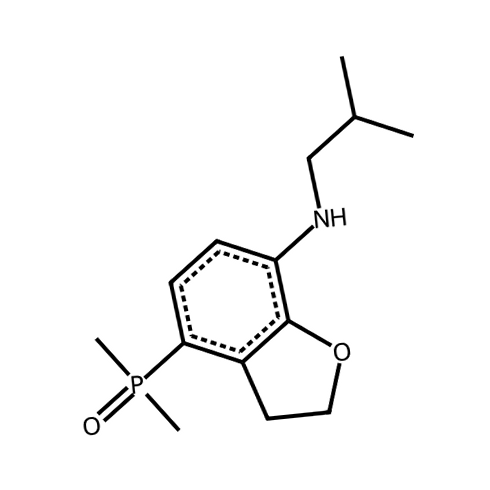 CC(C)CNc1ccc(P(C)(C)=O)c2c1OCC2